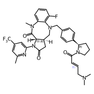 Cc1cc(C(F)(F)F)cc(N2C(=O)C[C@@H]3CN(Cc4ccc([C@H]5CCCN5C(=O)/C=C/CN(C)C)cc4)c4c(F)cccc4N(C)C(=O)[C@H]32)n1